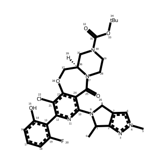 CC1c2nn(C)cc2CN1c1nc(-c2c(O)cccc2F)c(Cl)c2c1C(=O)N1CCN(C(=O)OC(C)(C)C)C[C@@H]1CO2